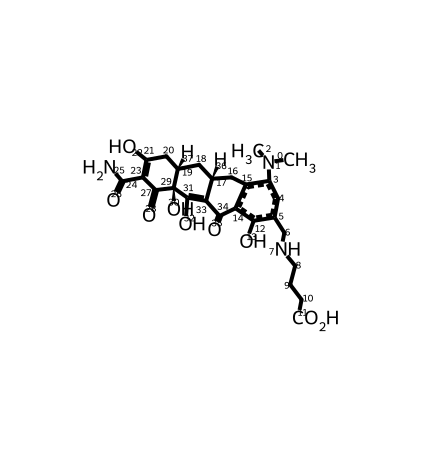 CN(C)c1cc(CNCCCC(=O)O)c(O)c2c1C[C@H]1C[C@H]3CC(O)=C(C(N)=O)C(=O)[C@@]3(O)C(O)=C1C2=O